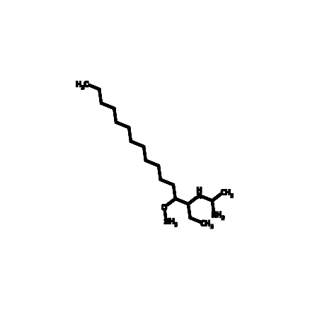 CCCCCCCCCCCCC(O[SiH3])C(CC)NC(C)N